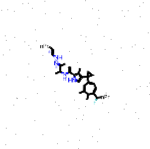 C=C(NC(C)/C(C)=N/N/C=C/CCC)c1[nH]cc(C2(C3=CC=C(C(F)CCC)C(C)C(C)=C3)CC2)c1C